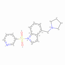 O=S(=O)(c1cccnc1)n1ccc2c(CN3CCCC3)cccc21